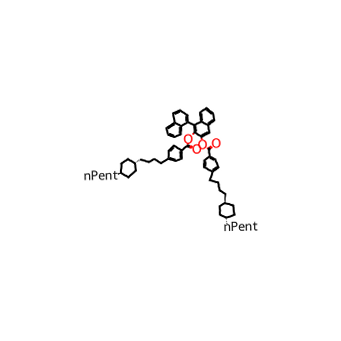 CCCCC[C@H]1CC[C@H](CCCCc2ccc(C(=O)Oc3cc4ccccc4c(-c4cccc5ccccc45)c3OC(=O)c3ccc(CCCC[C@H]4CC[C@H](CCCCC)CC4)cc3)cc2)CC1